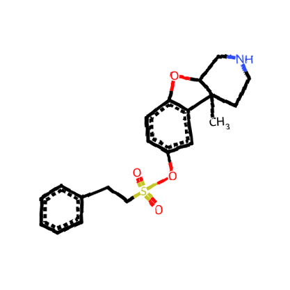 CC12CCNCC1Oc1ccc(OS(=O)(=O)CCc3ccccc3)cc12